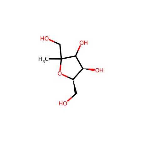 CC1(CO)O[C@H](CO)[C@H](O)C1O